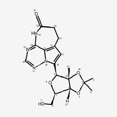 CC1(C)O[C@@H]2[C@@H](CO)O[C@@H](c3cc4c5c(ncnn35)NC(=O)CC4)[C@]2(C)O1